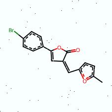 Cc1ccc(/C=C2/C=C(c3ccc(Br)cc3)OC2=O)o1